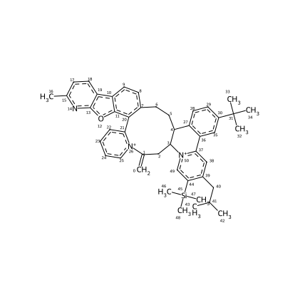 C=C1CC2C(CCc3ccc4c(oc5nc(C)ccc54)c3-c3cccc[n+]31)c1ccc(C(C)(C)C)cc1-c1cc(CC(C)C)c([Si](C)(C)C)c[n+]12